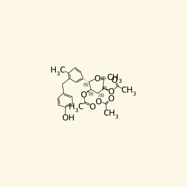 CC(=O)O[C@@H]1[C@@H](OC(C)=O)[C@H](c2ccc(C)c(Cc3ccc(O)cc3)c2)O[C@H](C)[C@H]1OC(C)=O